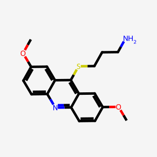 COc1ccc2nc3ccc(OC)cc3c(SCCCN)c2c1